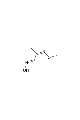 CON=C(C)C=NO